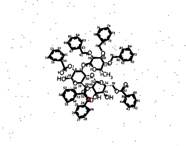 C[C@@H]1OC(O[C@@H]2[C@@H](OC(=O)c3ccccc3)[C@H](O)O[C@H](COC(=O)c3ccccc3)[C@H]2O[C@@H]2O[C@H](COC(=O)c3ccccc3)[C@H](O)[C@H](O)[C@H]2OC(=O)c2ccccc2)[C@@H](OCc2ccccc2)[C@H](OCc2ccccc2)[C@@H]1OCc1ccccc1